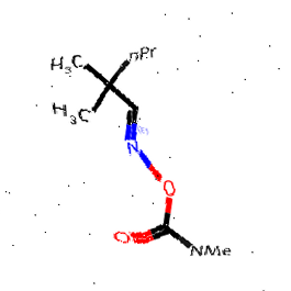 CCCC(C)(C)/C=N/OC(=O)NC